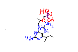 CCC(C)c1nc(N)nc2c1nc(N)n2CC(C)OCP(=O)(O)O